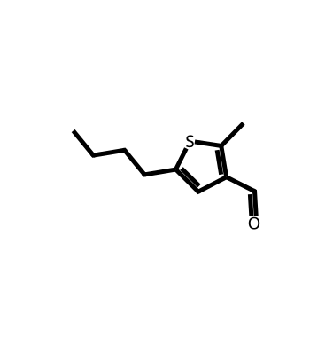 CCCCc1cc(C=O)c(C)s1